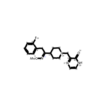 CO/N=C(\Cc1ccccc1F)C1CCN(Cc2ncc[nH]c2=O)CC1